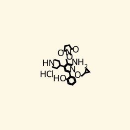 Cl.Nc1nc(-c2c(O)cccc2OCC2CC2)cc(C2CCNCC2)c1CON1C(=O)CCC1=O